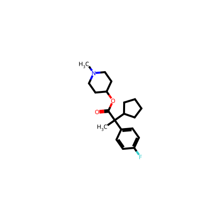 CN1CCC(OC(=O)C(C)(c2ccc(F)cc2)C2CCCC2)CC1